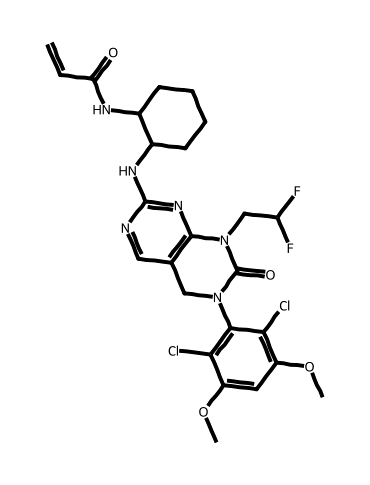 C=CC(=O)NC1CCCCC1Nc1ncc2c(n1)N(CC(F)F)C(=O)N(c1c(Cl)c(OC)cc(OC)c1Cl)C2